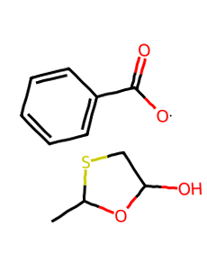 CC1OC(O)CS1.[O]C(=O)c1ccccc1